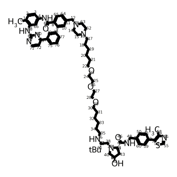 Cc1ccc(NC(=O)c2ccc(CN3CCN(CCCCCCOCCOCCOCCCCCCN[C@H](CN4C[C@H](O)C[C@H]4C(=O)NCc4ccc(-c5scnc5C)cc4)C(C)(C)C)CC3)cc2)cc1Nc1nccc(-c2ccccc2)n1